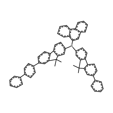 CC1(C)c2cc(-c3ccccc3)ccc2-c2ccc(N(c3ccc4c(c3)C(C)(C)c3cc(-c5ccc(-c6ccccc6)cc5)ccc3-4)c3cc4ccccc4c4ccccc34)cc21